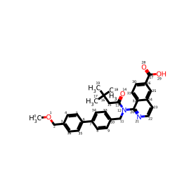 COCc1ccc(-c2ccc(CN(C(=O)CC(C)(C)C)c3nccc4cc(C(=O)O)ccc34)cc2)cc1